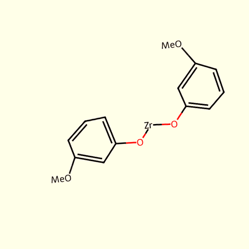 COc1cccc([O][Zr][O]c2cccc(OC)c2)c1